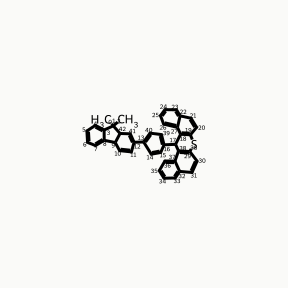 CC1(C)c2ccccc2C2C=CC(c3ccc(C4c5c(ccc6ccccc56)Sc5ccc6ccccc6c54)cc3)=CC21